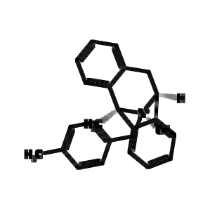 Cc1ccc(C[N@+]2(C)[C@H]3Cc4ccccc4[C@]2(C)c2ccccc23)cc1